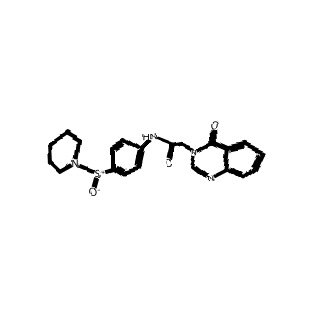 O=C(Cn1cnc2ccccc2c1=O)Nc1ccc([S+]([O-])N2CCCCC2)cc1